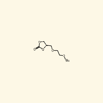 CCC(C)OCCOCC1COC(=O)O1